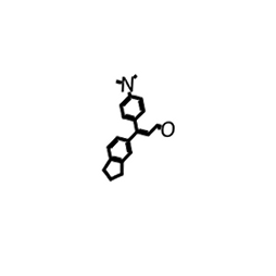 CN(C)c1ccc(C(=CC=O)c2ccc3c(c2)CCC3)cc1